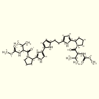 COC(=O)NC(C(=O)N1CCCC1c1nc(-c2ccc(CCc3cnc(C4CCCN4C(=O)C(NC(=O)OC)C(C)C)[nH]3)[nH]2)c[nH]1)C(C)C